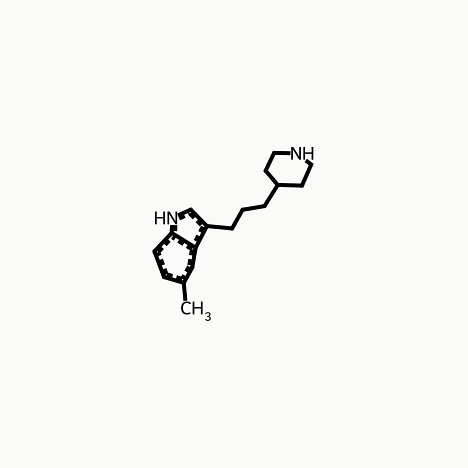 Cc1ccc2[nH]cc(CCCC3CCNCC3)c2c1